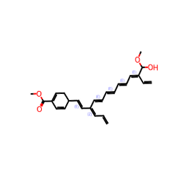 C=C/C=C(\C=C\C=C\C=C\C=C(/C=C)C(O)OC)/C=C/C1C=CC(C(=O)OC)=CC1